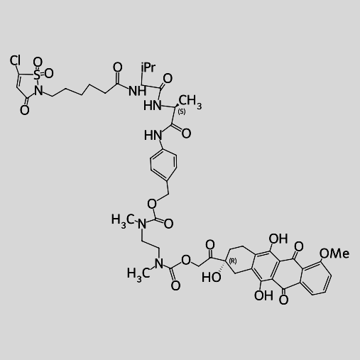 COc1cccc2c1C(=O)c1c(O)c3c(c(O)c1C2=O)C[C@@](O)(C(=O)COC(=O)N(C)CCN(C)C(=O)OCc1ccc(NC(=O)[C@H](C)NC(=O)C(NC(=O)CCCCCN2C(=O)C=C(Cl)S2(=O)=O)C(C)C)cc1)CC3